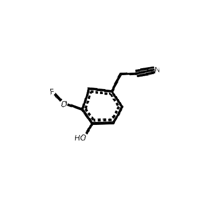 N#CCc1ccc(O)c(OF)c1